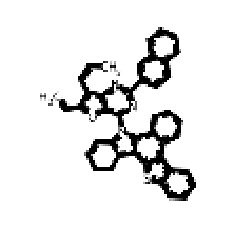 C=Cc1oc2c(-n3c4c(c5c6sc7ccccc7c6c6ccccc6c53)CCC=C4)nc(-c3ccc4ccccc4c3)nc2c1/C=C\C